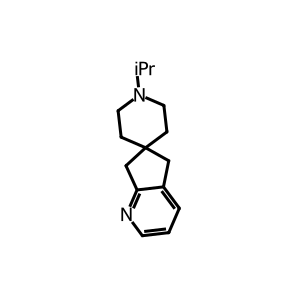 CC(C)N1CCC2(CC1)Cc1cccnc1C2